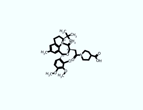 COc1ccc([C@H]2O[C@H](CC(=O)N3CCC(C(=O)O)CC3)C(=O)N3c4c(cc(C)cc42)CC[C@H]3C(C)(C)C)c(Cl)c1OC